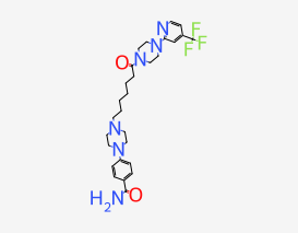 NC(=O)c1ccc(N2CCN(CCCCCCC(=O)N3CCN(c4cc(C(F)(F)F)ccn4)CC3)CC2)cc1